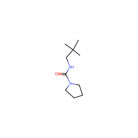 CC(C)(C)CNC(=O)N1CCCC1